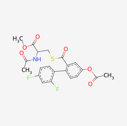 COC(=O)C(CSC(=O)c1cc(OC(C)=O)ccc1-c1ccc(F)cc1F)NC(C)=O